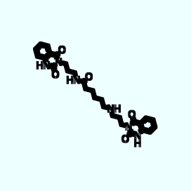 O=C(CCCCCNCCCn1c(=O)[nH]c2ccccc2c1=O)NCCCn1c(=O)[nH]c2ccccc2c1=O